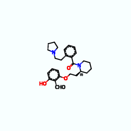 O=Cc1c(O)cccc1OCC[C@@H]1CCCCN1C(=O)c1ccccc1CCN1CCCC1